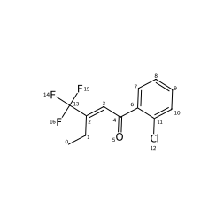 CC/C(=C\C(=O)c1ccccc1Cl)C(F)(F)F